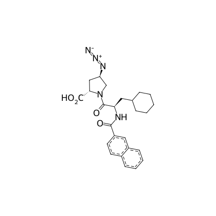 [N-]=[N+]=N[C@@H]1C[C@@H](C(=O)O)N(C(=O)[C@@H](CC2CCCCC2)NC(=O)c2ccc3ccccc3c2)C1